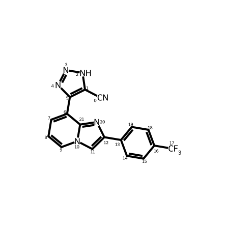 N#Cc1[nH]nnc1-c1cccn2cc(-c3ccc(C(F)(F)F)cc3)nc12